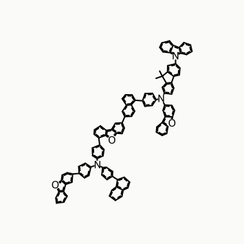 CC1(C)c2cc(N(c3ccc(-c4cccc5cc(-c6ccc7oc8c(-c9ccc(N(c%10ccc(-c%11ccc%12oc%13ccccc%13c%12c%11)cc%10)c%10ccc(-c%11cccc%12ccccc%11%12)cc%10)cc9)cccc8c7c6)ccc45)cc3)c3ccc4oc5ccccc5c4c3)ccc2-c2ccc(-n3c4ccccc4c4ccccc43)cc21